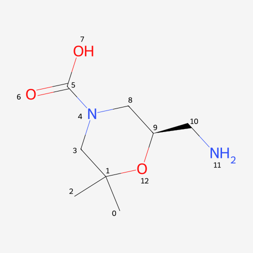 CC1(C)CN(C(=O)O)C[C@@H](CN)O1